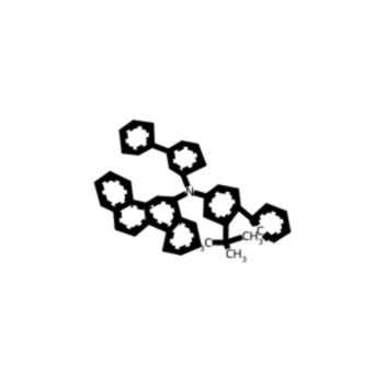 CC(C)(C)c1cc(N(c2cccc(-c3ccccc3)c2)c2cc3c4ccccc4ccc3c3ccccc23)ccc1-c1ccccc1